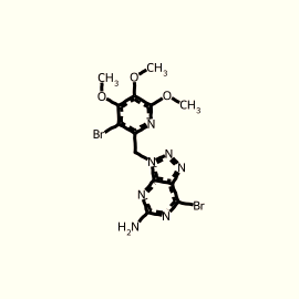 COc1nc(Cn2nnc3c(Br)nc(N)nc32)c(Br)c(OC)c1OC